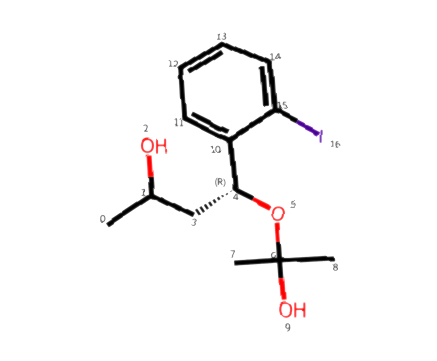 CC(O)C[C@@H](OC(C)(C)O)c1ccccc1I